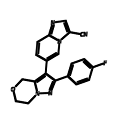 N#Cc1cnc2ccc(-c3c(-c4ccc(F)cc4)nn4c3COCC4)cn12